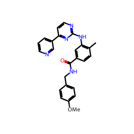 COc1ccc(CNC(=O)c2ccc(C)c(Nc3nccc(-c4cccnc4)n3)c2)cc1